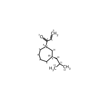 C=CC(=O)N1CCCC[C@H](CC(C)C)C1